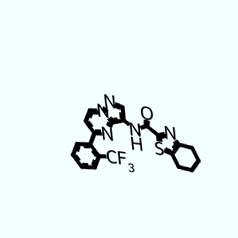 O=C(Nc1cnn2ccc(-c3ccccc3C(F)(F)F)nc12)c1nc2c(s1)CCCC2